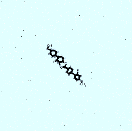 COc1ccc(-c2ccc(C(=O)Oc3ccc(-c4ccc(CO)cc4)c(F)c3F)cc2)c(F)c1